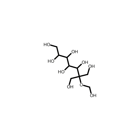 OCOC(CO)(CO)C(O)C(O)C(O)C(O)CO